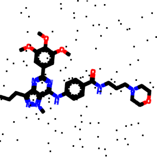 CCCc1nn(C)c2c(Nc3ccc(C(=O)NCCCN4CCOCC4)cc3)nc(-c3cc(OC)c(OC)c(OC)c3)nc12